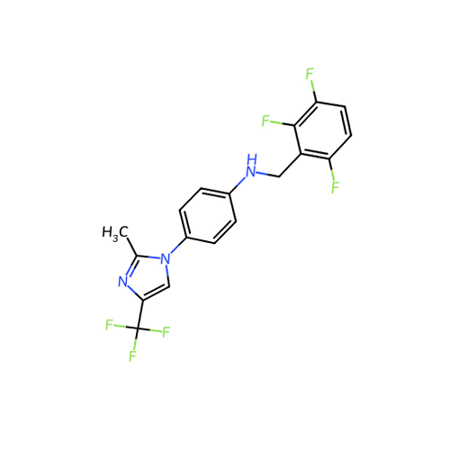 Cc1nc(C(F)(F)F)cn1-c1ccc(NCc2c(F)ccc(F)c2F)cc1